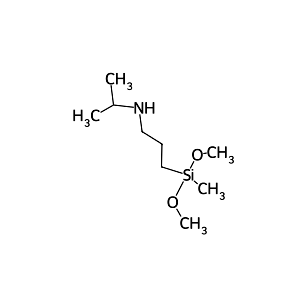 CO[Si](C)(CCCNC(C)C)OC